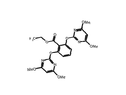 COc1cc(OC)nc(Oc2cccc(Oc3nc(OC)cc(OC)n3)c2C(=O)OCC(F)(F)F)n1